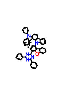 FC(F)(F)c1cc(-c2nc(-c3ccccc3)nc(-c3ccccc3)n2)c2oc3ccccc3c2c1-n1c2ccccc2c2ccc3c(c4ccccc4n3-c3ccccc3)c21